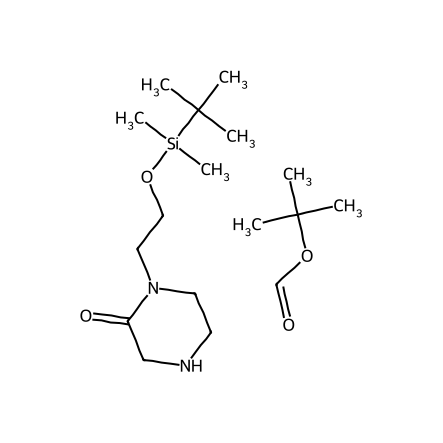 CC(C)(C)OC=O.CC(C)(C)[Si](C)(C)OCCN1CCNCC1=O